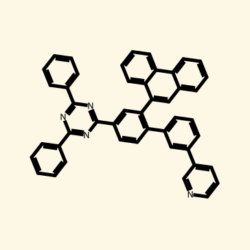 c1ccc(-c2nc(-c3ccccc3)nc(-c3ccc(-c4cccc(-c5cccnc5)c4)c(-c4cc5ccccc5c5ccccc45)c3)n2)cc1